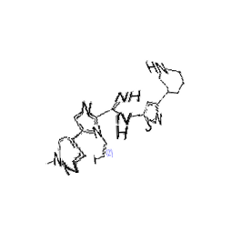 Cn1cc(-c2cnc(C(=N)Nc3cc(C4CCCNC4)ns3)n2/C=C\I)cn1